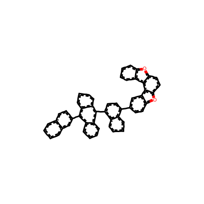 c1ccc2cc(-c3c4ccccc4c(-c4ccc(-c5ccc6oc7ccc8oc9ccccc9c8c7c6c5)c5ccccc45)c4ccccc34)ccc2c1